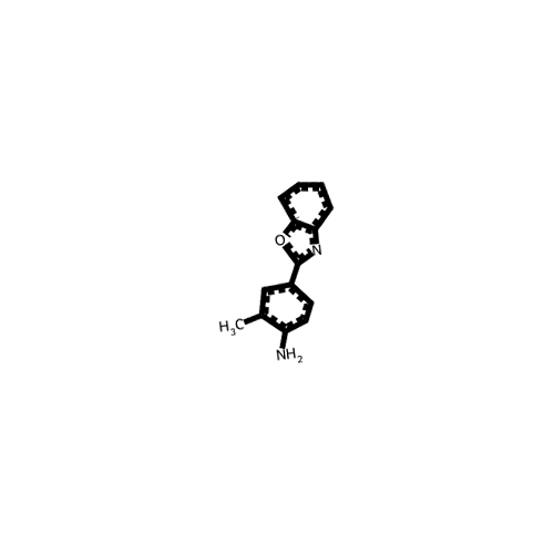 Cc1cc(-c2nc3ccccc3o2)ccc1N